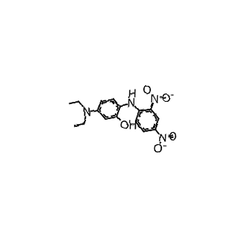 CCN(CC)c1ccc(Nc2ccc([N+](=O)[O-])cc2[N+](=O)[O-])c(O)c1